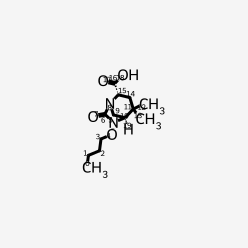 CCCCON1C(=O)N2C[C@H]1C(C)(C)C[C@H]2C(=O)O